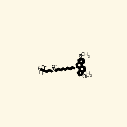 COc1ccc2c(c1)C[C@@H](C/C=C/CCCCCC[S+]([O-])CCCC(F)(F)C(F)(F)F)C1C2CC[C@]2(C)C(O)CCC12